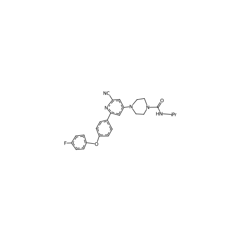 CC(C)NC(=O)N1CCN(c2cc(C#N)nc(-c3ccc(Oc4ccc(F)cc4)cc3)c2)CC1